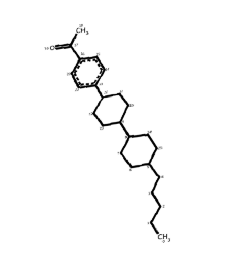 CCCCCC1CCC(C2CCC(c3ccc(C(C)=O)cc3)CC2)CC1